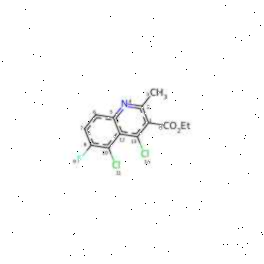 CCOC(=O)c1c(C)nc2ccc(F)c(Cl)c2c1Cl